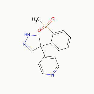 CS(=O)(=O)c1ccccc1C1(c2ccncc2)C=NNC1